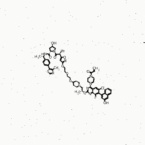 C=CC(=O)N1CCN(c2nc(O[C@H](C)CN3CCC(OCCOCCOc4cc([C@@H](C(=O)N5C[C@H](O)C[C@H]5C(=O)N[C@@H](C)c5ccc(-c6scnc6C)cc5)C(C)C)on4)CC3)nc3c(F)c(-c4cc(O)cc5ccccc45)c(Cl)cc23)CC1